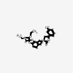 CCOC(=O)C1(C(=O)OCC)Oc2ccc3c(c2O1)C[C@H](N1CC(c2cccc(Cl)c2)OC1=O)C3